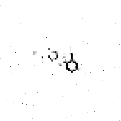 COC(=O)[C@@H]1C[C@@H](S(=O)(=O)c2ccc(Br)cc2C(F)(F)F)CN1